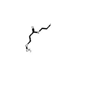 COCCC(=O)SCCI